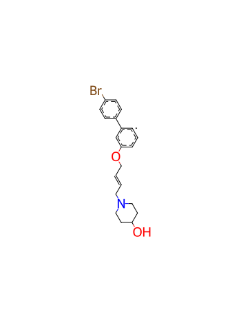 OC1CCN(C/C=C/COc2cc[c]c(-c3ccc(Br)cc3)c2)CC1